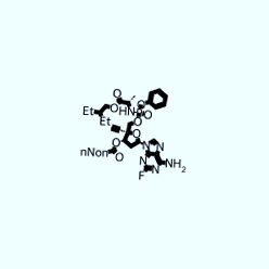 C#C[C@]1(CO[P@@](=O)(N[C@@H](C)C(=O)OCC(CC)CC)Oc2ccccc2)O[C@@H](n2cnc3c(N)nc(F)nc32)C[C@@H]1OC(=O)CCCCCCCCC